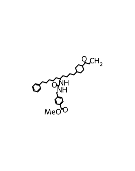 C=CC(=O)C1CCC(CCCCC(CCCCCc2ccccc2)NC(=O)NCc2ccc(C(=O)OC)cc2)CC1